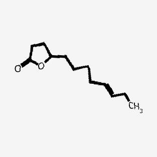 CC/C=C/CCCCC1CCC(=O)O1